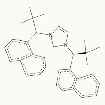 CC(C)(C)C(c1cccc2ccccc12)N1C=CN([C@H](c2cccc3ccccc23)C(C)(C)C)C1